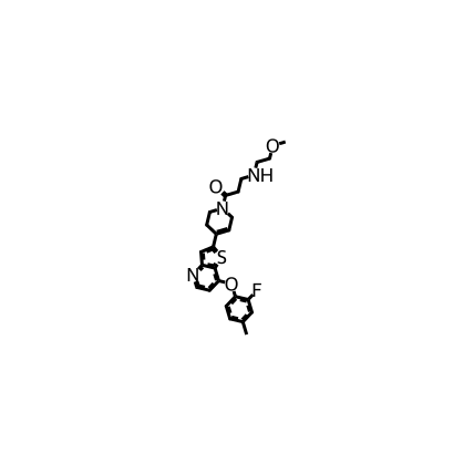 COCCNCCC(=O)N1CC=C(c2cc3nccc(Oc4ccc(C)cc4F)c3s2)CC1